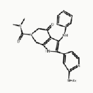 CC(=O)Nc1cc(-c2[nH]c3c(c2Nc2ccccc2)C(=O)CN(C(=O)N(C)C)C3)ccn1